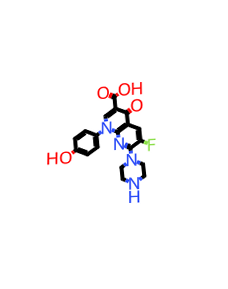 O=C(O)c1cn(-c2ccc(O)cc2)c2nc(N3CCNCC3)c(F)cc2c1=O